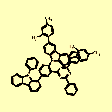 Cc1ccc(-c2ccc3c(c2)c2cc(-c4ccc(C)cc4C)ccc2n3-c2ccc(-c3cccc4c5ccccc5n(-c5ccccc5)c34)cc2-c2nc(-c3ccccc3)nc(-c3ccccc3)n2)c(C)c1